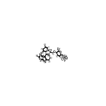 CCc1nc(NS(C)(=O)=O)ccc1OCC(=O)N1CCc2nc3sc(C)nn3c2[C@@H]1c1ncc(C)cc1F